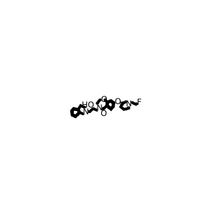 O=C1c2ccc(O[C@@H]3CCCN(CCF)C3)cc2OCCN1CC(O)CN1CCc2ccccc2C1